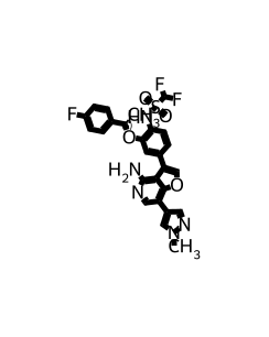 C[C@H](Oc1cc(-c2coc3c(-c4cnn(C)c4)cnc(N)c23)ccc1NS(=O)(=O)C(F)F)c1ccc(F)cc1